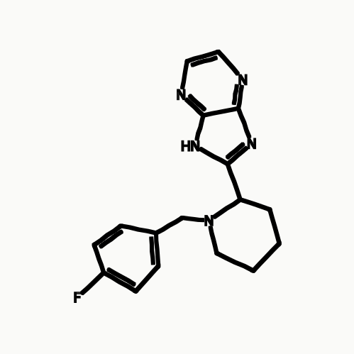 Fc1ccc(CN2CCCCC2c2nc3nccnc3[nH]2)cc1